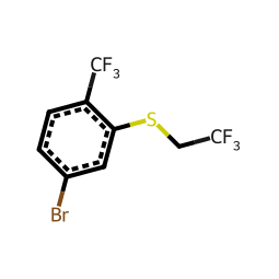 FC(F)(F)CSc1cc(Br)ccc1C(F)(F)F